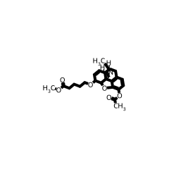 COC(=O)CCCCOC1C=C[C@H]2[C@H]3Cc4ccc(OC(C)=O)c5c4[C@@]2(CCN3C)C1O5